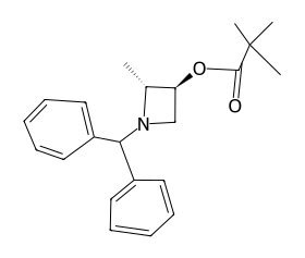 C[C@@H]1[C@@H](OC(=O)C(C)(C)C)CN1C(c1ccccc1)c1ccccc1